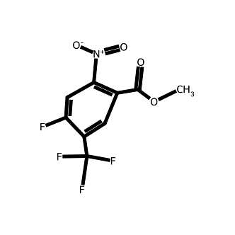 COC(=O)c1cc(C(F)(F)F)c(F)cc1[N+](=O)[O-]